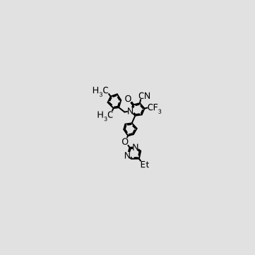 CCc1cnc(Oc2ccc(-c3cc(C(F)(F)F)c(C#N)c(=O)n3Cc3ccc(C)cc3C)cc2)nc1